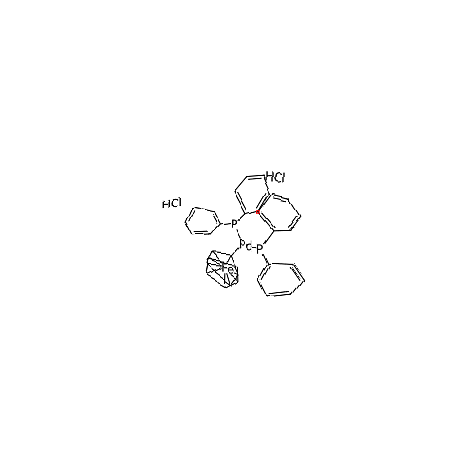 Cl.Cl.c1ccc([P](c2ccccc2)[Pd]([P](c2ccccc2)c2ccccc2)[C]23[CH]4[CH]5[CH]6[CH]2[Fe]56432789[CH]3[CH]2[CH]7[CH]8[CH]39)cc1